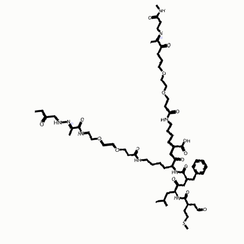 CCC(=O)CN/N=C(\C)C(=O)NCCOCCOCCC(=O)NCCCCC(NC(=O)C(CC(=O)C(CC(C)C)NC(=O)C(CC=O)CCSC)Cc1ccccc1)C(=O)CC(CCCCNC(=O)CCOCCOCCCC(=O)/C(C)=N/CCC(=O)NC)C(=O)O